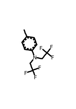 Cc1ccc(N(CC(F)(F)F)CC(F)(F)F)cc1